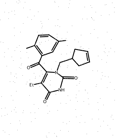 CCc1c(C(=O)c2cc(C)ccc2C)n(CC2CC=CC2)c(=O)[nH]c1=O